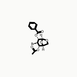 CC(=O)O[C@@H]1[C@@H](Br)[C@H](OC(=O)c2ccccc2)[C@H]2OC[C@@H]1O2